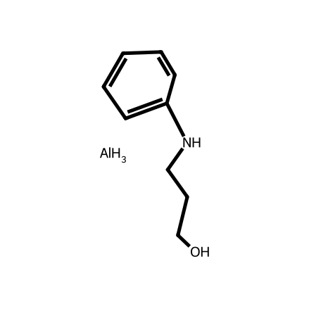 OCCCNc1ccccc1.[AlH3]